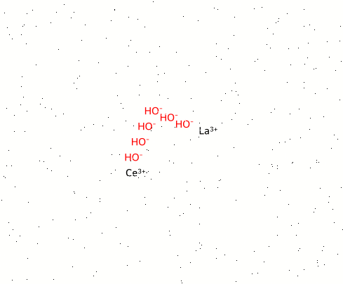 [Ce+3].[La+3].[OH-].[OH-].[OH-].[OH-].[OH-].[OH-]